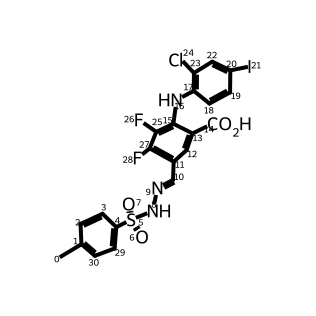 Cc1ccc(S(=O)(=O)N/N=C/c2cc(C(=O)O)c(Nc3ccc(I)cc3Cl)c(F)c2F)cc1